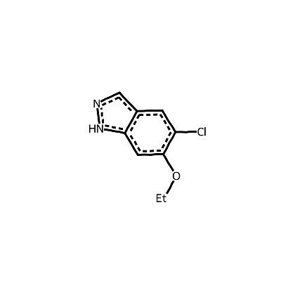 CCOc1cc2[nH]ncc2cc1Cl